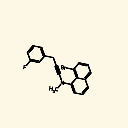 CN(C#CCc1cccc(F)c1)c1cccc2cccc(Br)c12